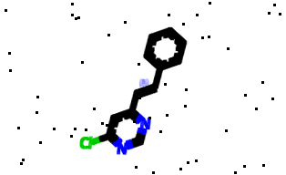 Clc1cc(/C=C/c2ccccc2)ncn1